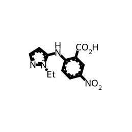 CCn1nccc1Nc1ccc([N+](=O)[O-])cc1C(=O)O